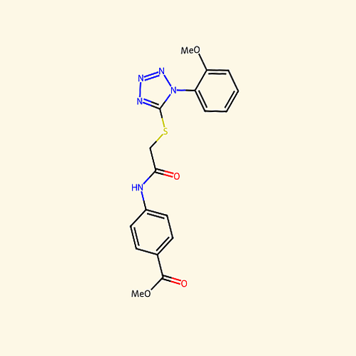 COC(=O)c1ccc(NC(=O)CSc2nnnn2-c2ccccc2OC)cc1